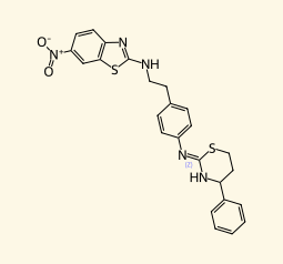 O=[N+]([O-])c1ccc2nc(NCCc3ccc(/N=C4/NC(c5ccccc5)CCS4)cc3)sc2c1